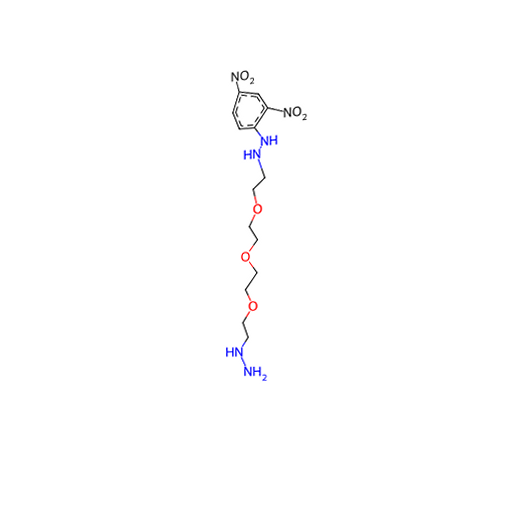 NNCCOCCOCCOCCNNc1ccc([N+](=O)[O-])cc1[N+](=O)[O-]